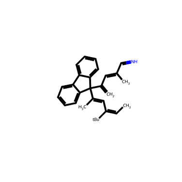 C=C(/C=C(\C)C=N)C1(/C(C)=C/C(=C\C)C(C)(C)C)c2ccccc2-c2ccccc21